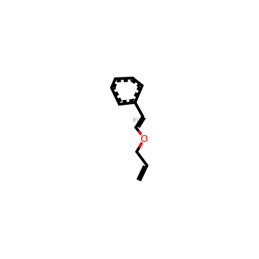 C=CCO/C=C/c1ccccc1